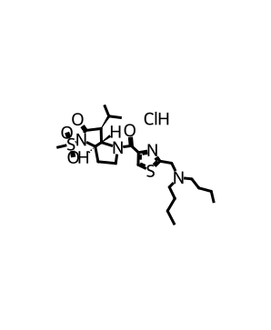 CCCCN(CCCC)Cc1nc(C(=O)N2CC[C@@H]3[C@@H]2[C@H](C(C)C)C(=O)N3S(C)(=O)=O)cs1.Cl